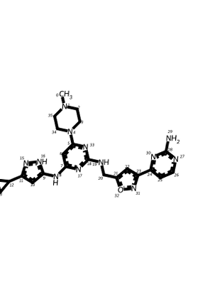 CN1CCN(c2cc(Nc3cc(C4CC4)n[nH]3)nc(NCc3cc(-c4ccnc(N)n4)no3)n2)CC1